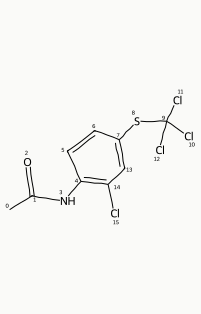 CC(=O)Nc1ccc(SC(Cl)(Cl)Cl)cc1Cl